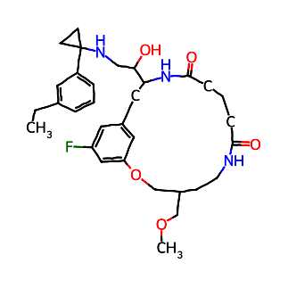 CCc1cccc(C2(NCC(O)C3Cc4cc(F)cc(c4)OCC(COC)CCNC(=O)CCCC(=O)N3)CC2)c1